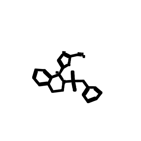 Nc1ncc([C@@H]2c3ccccc3CCN2S(=O)(=O)Cc2ccccc2)s1